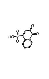 O=C1C=C(S(=O)(=O)O)c2ccccc2C1=O